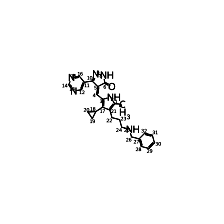 Cc1[nH]c(C=C2C(=O)NN=C2c2cncnc2)c(C2CC2)c1CCCNCc1ccccc1